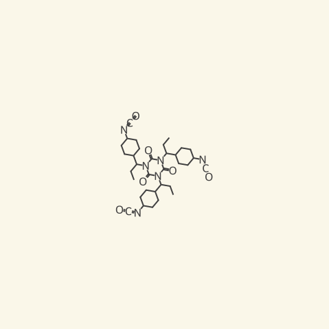 CCC(C1CCC(N=C=O)CC1)n1c(=O)n(C(CC)C2CCC(N=C=O)CC2)c(=O)n(C(CC)C2CCC(N=C=O)CC2)c1=O